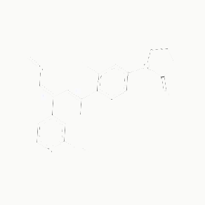 C=N/C=C(\C=C(/C)c1ccc(N2CCOC2=O)cc1Cl)c1ccnc(C(C)(C)C)c1